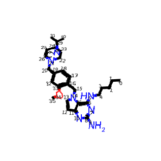 CCCCCNc1nc(N)nc2ccn(Cc3ccc(CN4CC5CCC4CN5C(C)C)cc3OC)c12